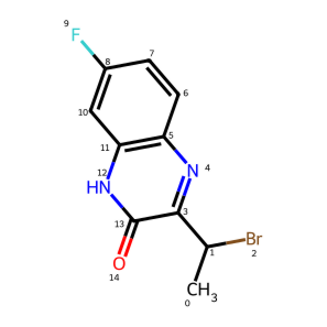 CC(Br)c1nc2ccc(F)cc2[nH]c1=O